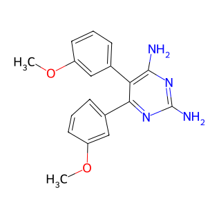 COc1cccc(-c2nc(N)nc(N)c2-c2cccc(OC)c2)c1